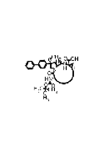 CO[C@@]1(c2ccc(-c3ccccc3)cc2)C[C@H]2C(=O)N[C@]3(C(=O)O)C[C@H]3/C=C\CCCCC[C@H](NC(=O)OC(C)(C)C)C(=O)N2C1